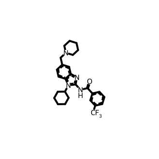 O=C(Nc1nc2cc(CN3CCCCC3)ccc2n1C1CCCCC1)c1cccc(C(F)(F)F)c1